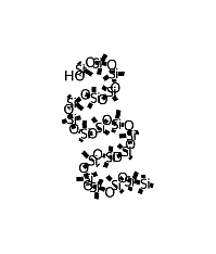 C[Si](C)(O)O[Si](C)(C)O[Si](C)(C)O[Si](C)(C)O[Si](C)(C)O[Si](C)(C)O[Si](C)(C)O[Si](C)(C)O[Si](C)(C)O[Si](C)(C)O[Si](C)(C)O[Si](C)(C)O[Si](C)(C)O[Si](C)(C)O[Si](C)(C)O[Si](C)(C)O[Si](C)(C)O[Si](C)(C)[Si](C)(C)C